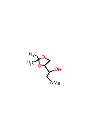 CNCC(O)C1COC(C)(C)O1